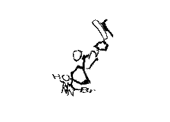 CC(C)Oc1ccc(N2CC[C@]3(CC[C@@](O)(c4c(Br)nnn4C)CC3)C2=O)cc1